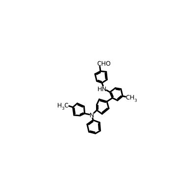 Cc1ccc(N(c2ccccc2)c2ccc(-c3cc(C)ccc3Nc3ccc(C=O)cc3)cc2)cc1